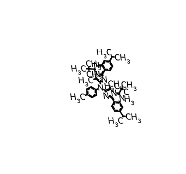 Cc1ccc(N(c2nc3c4ccc(C(C)C)cc4nc(C(C)(C)C)n3c2C)c2nc3c4ccc(C(C)C)cc4nc(C(C)(C)C)n3c2C)cc1